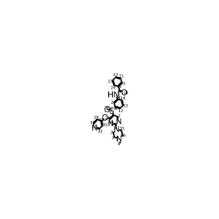 CN1CCN(c2ncc([S+]([O-])c3cccc(NC(=O)c4ccccc4)c3)c(Oc3ccncc3)n2)CC1